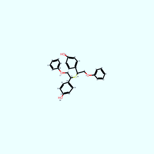 Oc1ccc(C(COc2ccccc2)SC(COc2ccccc2)c2ccc(O)cc2)cc1